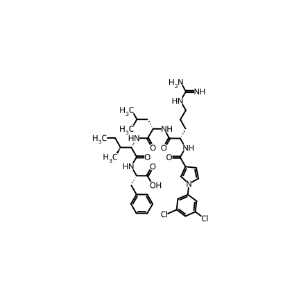 CC[C@H](C)[C@H](NC(=O)[C@H](CC(C)C)NC(=O)[C@H](CCCNC(=N)N)NC(=O)c1ccn(-c2cc(Cl)cc(Cl)c2)c1)C(=O)N[C@@H](Cc1ccccc1)C(=O)O